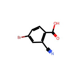 N#Cc1cc(Br)ccc1C(=O)O